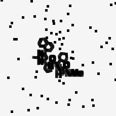 CNC(C)C(=O)N[C@H](C(=O)N1CCCC1c1cc(-c2cccc3ccccc23)nc(C)n1)C1CCCCC1